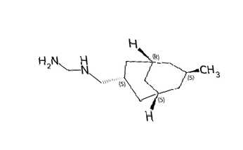 C[C@H]1C[C@@H]2C[C@H](CNCN)C[C@H](C1)C2